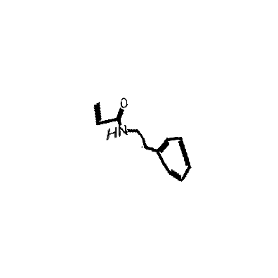 C=CC(=O)NC[CH]c1ccccc1